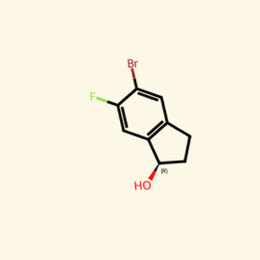 O[C@@H]1CCc2cc(Br)c(F)cc21